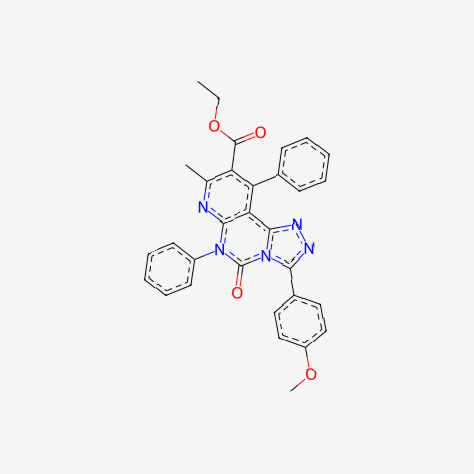 CCOC(=O)c1c(C)nc2c(c1-c1ccccc1)c1nnc(-c3ccc(OC)cc3)n1c(=O)n2-c1ccccc1